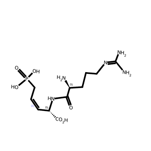 NC(N)=NCCC[C@H](N)C(=O)N[C@@H](/C=C\CP(=O)(O)O)C(=O)O